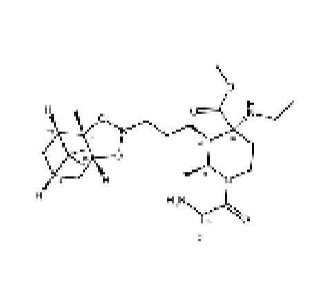 CCN[C@]1(C(=O)OC)CCN(C(=O)[C@H](C)N)[C@@H](C)[C@H]1CCCB1O[C@@H]2C[C@@H]3C[C@@H](C3(C)C)[C@]2(C)O1